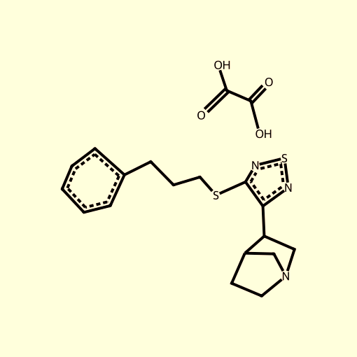 O=C(O)C(=O)O.c1ccc(CCCSc2nsnc2C2CN3CCC2C3)cc1